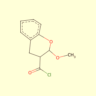 COC1Oc2ccccc2CC1C(=O)Cl